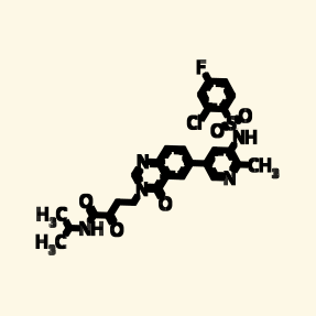 Cc1ncc(-c2ccc3ncn(CCC(=O)C(=O)NC(C)C)c(=O)c3c2)cc1NS(=O)(=O)c1ccc(F)cc1Cl